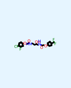 O=C(COc1ccc(Cl)c(F)c1)NCC[C@H](O)CNC(=O)COc1ccc(C(F)F)cc1